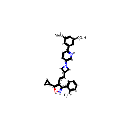 COc1cc(C(=O)O)cc(-c2ccc(N3CC(C=Cc4c(-c5ccccc5C(F)(F)F)noc4C4CC4)C3)cn2)c1